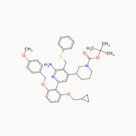 COc1ccc(COc2cccc(OCC3CC3)c2-c2cc(C3CCCN(C(=O)OC(C)(C)C)C3)c(CSc3ccccc3)c(N)n2)cc1